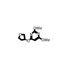 COc1cc(O[C@H]2CCOC2)nc(OC)n1